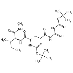 CC[C@H](C)[C@H](NC(=O)[C@H](CCC(=O)NC(=N)NC(=O)OC(C)(C)C)NC(=O)OC(C)(C)C)C(=O)NC